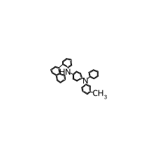 Cc1cccc(N(c2ccccc2)c2ccc(Nc3ccccc3-c3cccc4ccccc34)cc2)c1